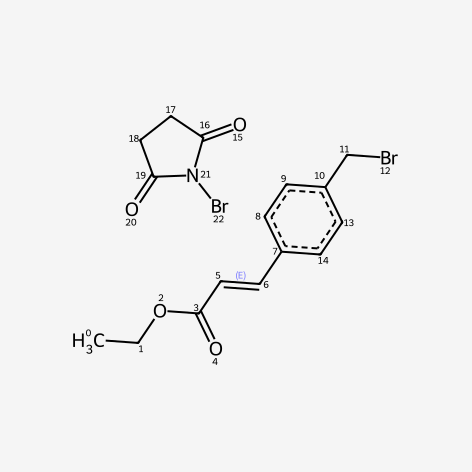 CCOC(=O)/C=C/c1ccc(CBr)cc1.O=C1CCC(=O)N1Br